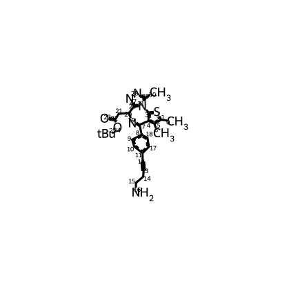 Cc1sc2c(c1C)C(c1ccc(C#CCCN)cc1)=NC(CC(=O)OC(C)(C)C)c1nnc(C)n1-2